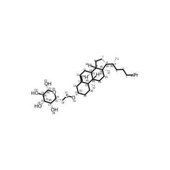 CC(C)CCC[C@@H](C)[C@H]1CC[C@H]2[C@@H]3CC=C4C[C@@H](OSC[C@H]5O[C@@H](O)[C@H](O)[C@@H](O)[C@H]5O)CC[C@]4(C)[C@H]3CC[C@]12C